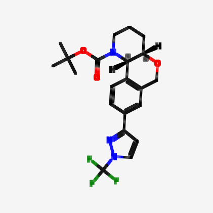 CC(C)(C)OC(=O)N1CCC[C@@H]2OCc3cc(-c4ccn(C(F)(F)F)n4)ccc3[C@@H]21